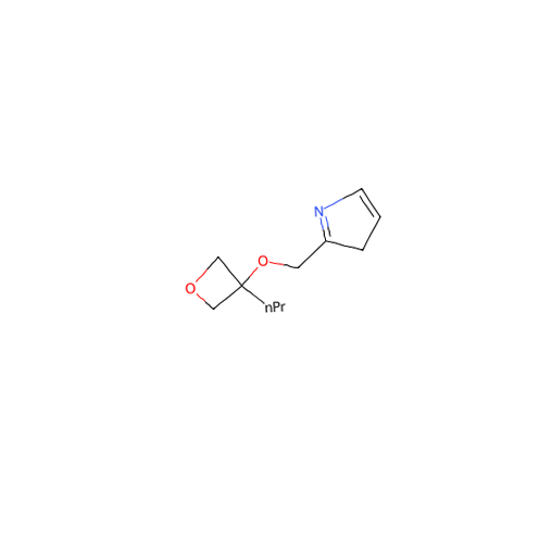 CCCC1(OCC2=NC=CC2)COC1